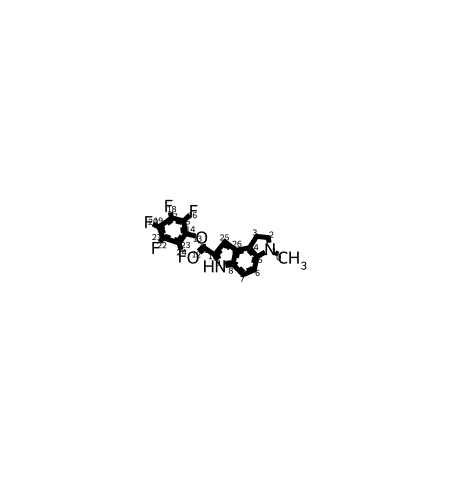 CN1CCc2c1ccc1[nH]c(C(=O)Oc3c(F)c(F)c(F)c(F)c3F)cc21